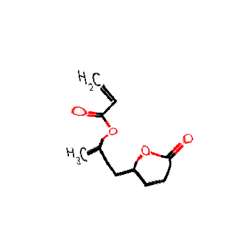 C=CC(=O)OC(C)CC1CCC(=O)O1